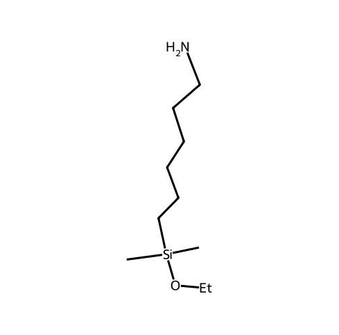 CCO[Si](C)(C)CCCCCCN